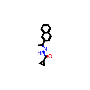 CC(=NNC(=O)C1CC1)c1ccc2ccccc2c1